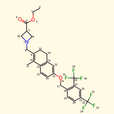 CCOC(=O)C1CN(CC2=C(C)c3ccc(OCc4ccc(C(F)(F)F)cc4C(F)(F)F)cc3CC2)C1